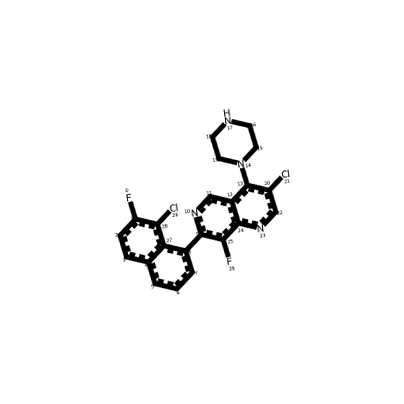 Fc1ccc2cccc(-c3ncc4c(N5CCNCC5)c(Cl)cnc4c3F)c2c1Cl